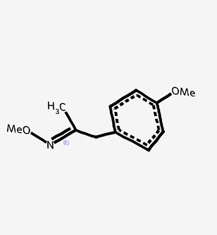 CO/N=C(\C)Cc1ccc(OC)cc1